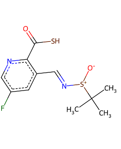 CC(C)(C)[S+]([O-])/N=C/c1cc(F)cnc1C(=O)S